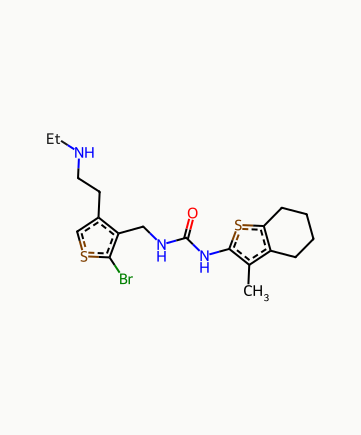 CCNCCc1csc(Br)c1CNC(=O)Nc1sc2c(c1C)CCCC2